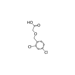 O=C(O)COCc1ccc(Cl)cc1Cl